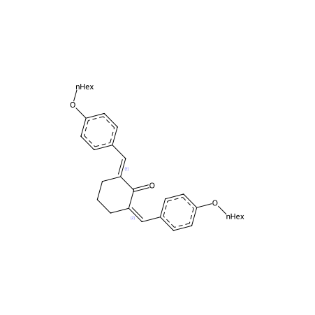 CCCCCCOc1ccc(/C=C2/CCC/C(=C\c3ccc(OCCCCCC)cc3)C2=O)cc1